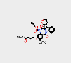 C=CCOC(=O)N1c2cc(OCCCC(=O)OC)c(OC)cc2C(=O)N2c3ccccc3C[C@H]2C1OC1CCCCO1